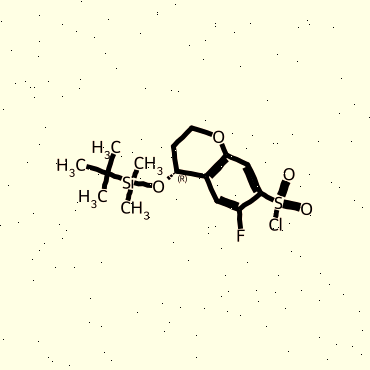 CC(C)(C)[Si](C)(C)O[C@@H]1CCOc2cc(S(=O)(=O)Cl)c(F)cc21